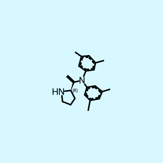 C=C([C@H]1CCCN1)N(c1cc(C)cc(C)c1)c1cc(C)cc(C)c1